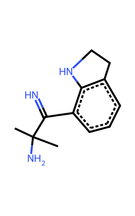 CC(C)(N)C(=N)c1cccc2c1NCC2